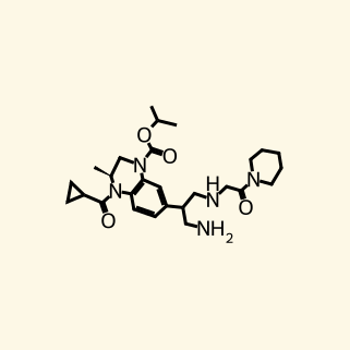 CC(C)OC(=O)N1C[C@H](C)N(C(=O)C2CC2)c2ccc(C(CN)CNCC(=O)N3CCCCC3)cc21